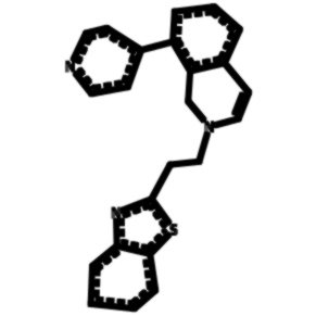 C1=CN(CCc2nc3ccccc3s2)Cc2c1cccc2-c1ccncc1